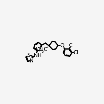 O=C(O)[C@]1(Cc2cccc(Nc3nccs3)n2)CC[C@@H](Oc2cccc(Cl)c2Cl)CC1